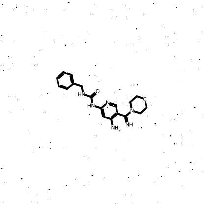 N=C(c1cnc(NC(=O)NCc2ccccc2)cc1N)N1CCOCC1